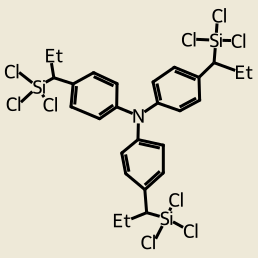 CCC(c1ccc(N(c2ccc(C(CC)[Si](Cl)(Cl)Cl)cc2)c2ccc(C(CC)[Si](Cl)(Cl)Cl)cc2)cc1)[Si](Cl)(Cl)Cl